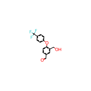 O=Cc1ccc(Oc2ccc(C(F)(F)F)cc2)c(CO)c1